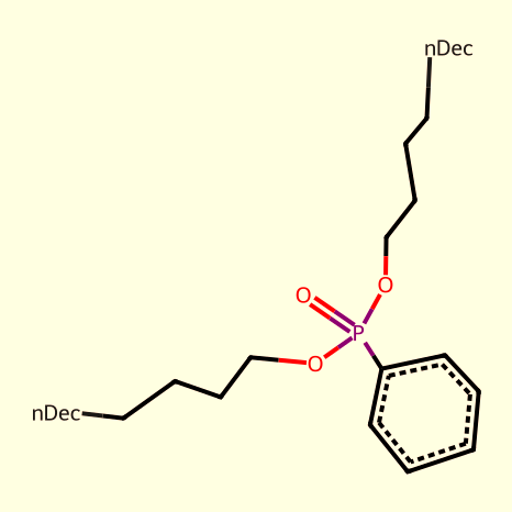 CCCCCCCCCCCCCCOP(=O)(OCCCCCCCCCCCCCC)c1ccccc1